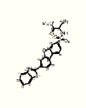 COC(=O)C(NS(=O)(=O)c1ccc2c(c1)oc1cc(-c3nc4ccccc4s3)ccc12)C(C)C